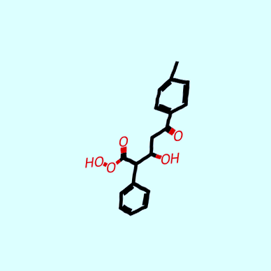 Cc1ccc(C(=O)CC(O)C(C(=O)OO)c2ccccc2)cc1